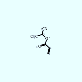 C=CC(=O)OC(C#N)C(Cl)(Cl)Cl